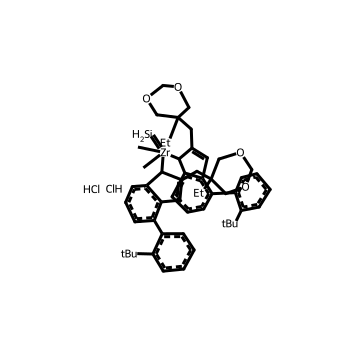 CCC1(CC2=Cc3c(-c4ccccc4C(C)(C)C)cccc3[CH]2[Zr]([CH3])([CH3])(=[SiH2])[CH]2C(CC3(CC)COCOC3)=Cc3c(-c4ccccc4C(C)(C)C)cccc32)COCOC1.Cl.Cl